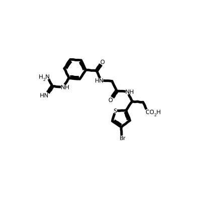 N=C(N)Nc1cccc(C(=O)NCC(=O)NC(CC(=O)O)c2cc(Br)cs2)c1